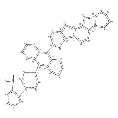 CC1(C)c2ccccc2-c2ccc(-c3c4ccccc4c(-c4ccc5sc6c(ccc7c8ccccc8oc76)c5c4)c4ccccc34)cc21